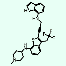 CN1CCC(Nc2cccc3c(CC(F)(F)F)c(C#CCNc4cccc5cc[nH]c45)sc23)CC1